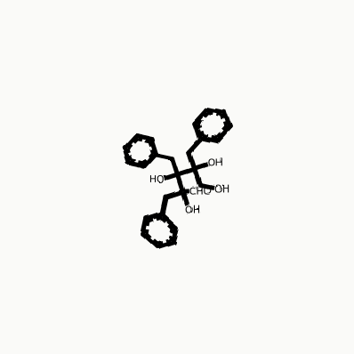 O=CC(O)(Cc1ccccc1)C(O)(Cc1ccccc1)C(O)(CO)Cc1ccccc1